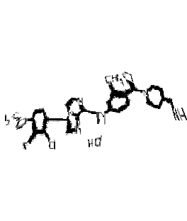 COc1ccc(-c2cnc3c(Nc4ccc(C(=O)N5CCC(CN)CC5)c(C)c4)nccn23)c(Cl)c1F.Cl